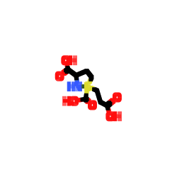 O=C(O)CCS1(C(=O)O)CCC(C(=O)O)N1